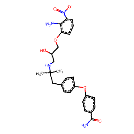 CC(C)(Cc1ccc(Oc2ccc(C(N)=O)cc2)cc1)NCC(O)COc1cccc([N+](=O)[O-])c1N